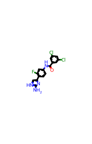 Nc1nc(-c2ccc(NC(=O)c3cc(Cl)cc(Cl)c3)cc2F)c[nH]1